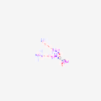 CC(N)COCCOCCOCCC(=O)NCC(=O)NC(C)C(=O)Oc1ccc(C[C@@H](CC(C)C(=O)OC(C)(C)C)NC(=O)OC(C)(C)C)cc1NC(C)(N)COCCOCCOCCC(=O)NCC(=O)NC(C)C